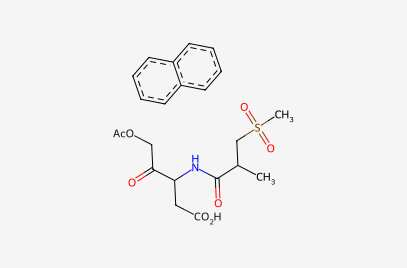 CC(=O)OCC(=O)C(CC(=O)O)NC(=O)C(C)CS(C)(=O)=O.c1ccc2ccccc2c1